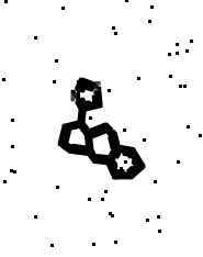 [c]1nc(C2C=CC=C3C=c4ccccc4=CC=C32)cs1